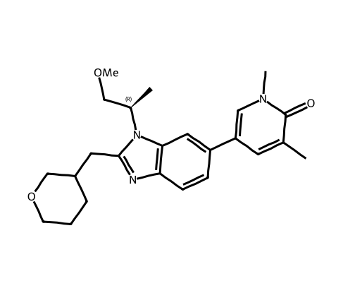 COC[C@@H](C)n1c(CC2CCCOC2)nc2ccc(-c3cc(C)c(=O)n(C)c3)cc21